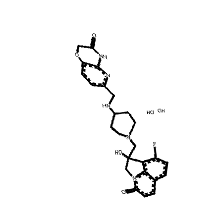 Cl.Cl.O=C1COc2ccc(CNC3CCN(CC4(O)Cn5c(=O)ccc6ccc(F)c4c65)CC3)nc2N1